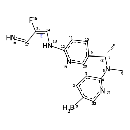 Bc1ccc(N(C)[C@@H](C)c2ccc(N/C=C(/F)C=N)nc2)nc1